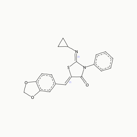 O=C1/C(=C/c2ccc3c(c2)OCO3)S/C(=N\C2CC2)N1c1ccccc1